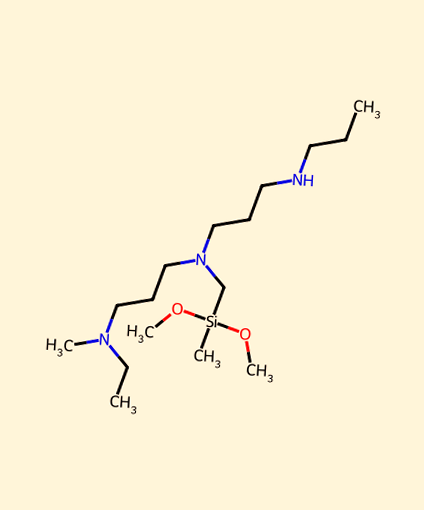 CCCNCCCN(CCCN(C)CC)C[Si](C)(OC)OC